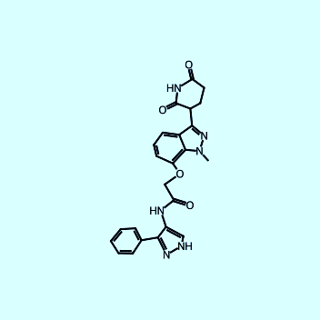 Cn1nc(C2CCC(=O)NC2=O)c2cccc(OCC(=O)Nc3c[nH]nc3-c3ccccc3)c21